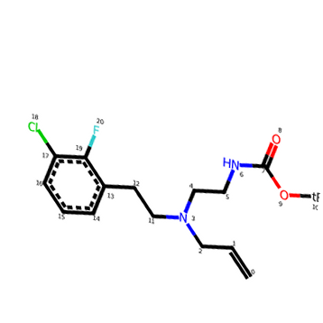 C=CCN(CCNC(=O)OC(C)(C)C)CCc1cccc(Cl)c1F